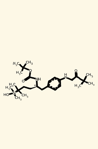 CC(C)(C)OC(=O)N[C@H](CCC(C)(C)[Si](C)(C)O)Cc1ccc(NCC(=O)C(C)(C)C)cc1